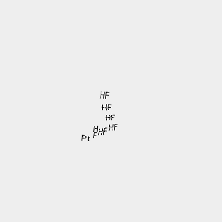 F.F.F.F.F.F.[Pt]